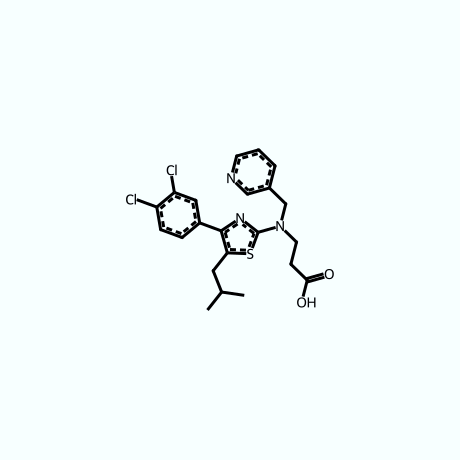 CC(C)Cc1sc(N(CCC(=O)O)Cc2cccnc2)nc1-c1ccc(Cl)c(Cl)c1